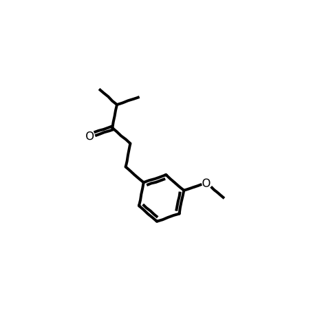 COc1cccc(CCC(=O)C(C)C)c1